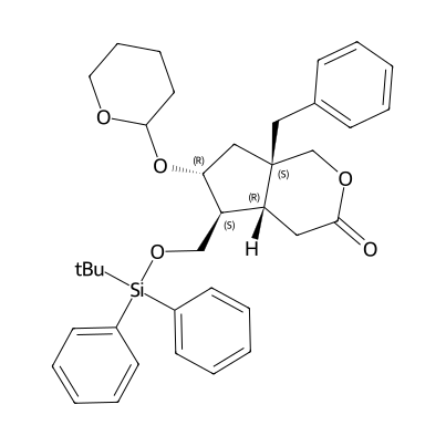 CC(C)(C)[Si](OC[C@@H]1[C@H]2CC(=O)OC[C@@]2(Cc2ccccc2)C[C@H]1OC1CCCCO1)(c1ccccc1)c1ccccc1